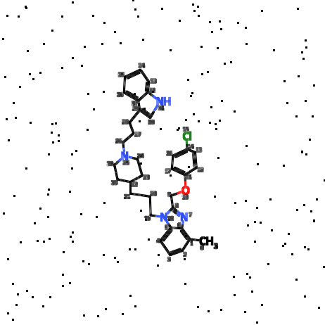 Cc1cccc2c1nc(COc1ccc(Cl)cc1)n2CCCC1CCN(CCCc2c[nH]c3ccccc23)CC1